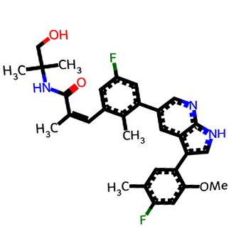 COc1cc(F)c(C)cc1-c1c[nH]c2ncc(-c3cc(F)cc(C=C(C)C(=O)NC(C)(C)CO)c3C)cc12